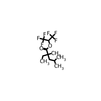 CCC(C)(CC(C)C)C(=O)OC(C(F)(F)F)C(F)(F)F